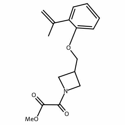 C=C(C)c1ccccc1OCC1CN(C(=O)C(=O)OC)C1